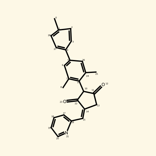 Cc1ccc(-c2cc(C)c(C3C(=O)CC(=Cc4ccccn4)C3=O)c(C)c2)cc1